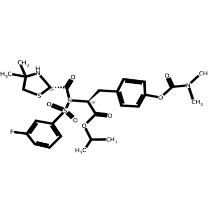 CC(C)OC(=O)[C@H](Cc1ccc(OC(=O)N(C)C)cc1)N(C(=O)[C@H]1NC(C)(C)CS1)S(=O)(=O)c1cccc(F)c1